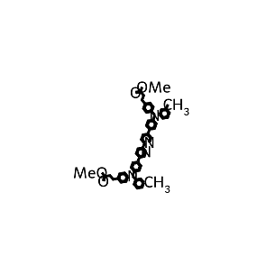 COC(=O)CCc1ccc(N(c2ccc(-c3ccc(-c4ccc(-c5ccc(N(c6ccc(CCC(=O)OC)cc6)c6cccc(C)c6)cc5)cn4)nc3)cc2)c2cccc(C)c2)cc1